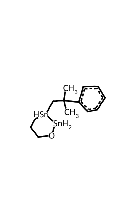 CC(C)([CH2][SnH]1[CH2]CC[O][SnH2]1)c1ccccc1